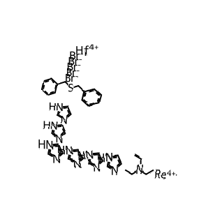 CCN(CC)CC.[Br-].[Br-].[Br-].[Br-].[Br-].[Hf+4].[Re+4].c1c[nH]cn1.c1c[nH]cn1.c1c[nH]cn1.c1c[nH]cn1.c1c[nH]cn1.c1c[nH]cn1.c1ccc(CSCc2ccccc2)cc1